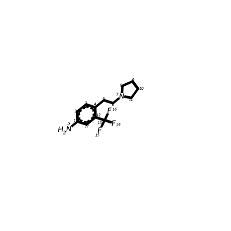 Nc1ccc(CCN2CCCC2)c(C(F)(F)F)c1